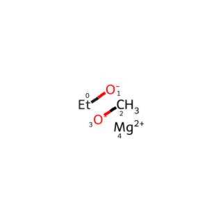 CC[O-].C[O-].[Mg+2]